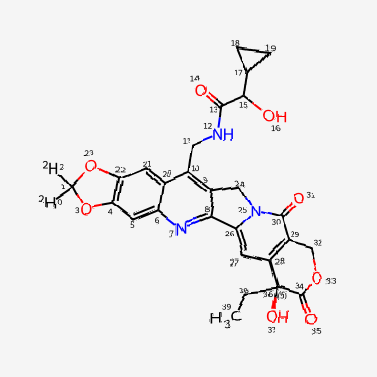 [2H]C1([2H])Oc2cc3nc4c(c(CNC(=O)C(O)C5CC5)c3cc2O1)Cn1c-4cc2c(c1=O)COC(=O)[C@]2(O)CC